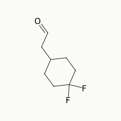 O=CCC1CCC(F)(F)CC1